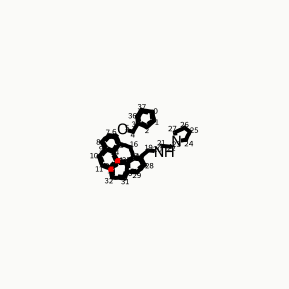 c1ccc(COc2ccc3ccccc3c2Cc2c(CNCCN3CCCC3)ccc3ccccc23)cc1